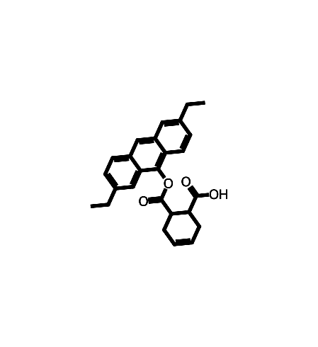 CCc1ccc2c(OC(=O)C3CC=CCC3C(=O)O)c3cc(CC)ccc3cc2c1